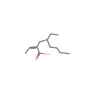 CC=C(CC(CC)CCCC)C(=O)O